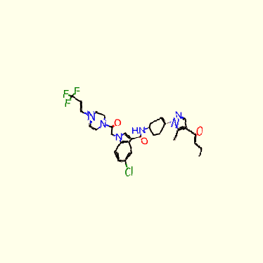 CCCC(=O)c1cnn([C@H]2CC[C@H](NC(=O)c3cn(CC(=O)N4CCN(CCC(F)(F)F)CC4)c4ccc(Cl)cc34)CC2)c1C